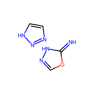 N=c1[nH]nco1.c1c[nH]nn1